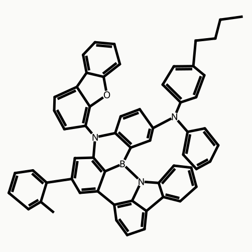 CCCCc1ccc(N(c2ccccc2)c2ccc3c(c2)B2c4c(cc(-c5ccccc5C)cc4N3c3cccc4c3oc3ccccc34)-c3cccc4c5ccccc5n2c34)cc1